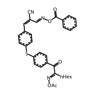 CCCCCCC(=NOC(C)=O)C(=O)c1ccc(Sc2ccc(C=C(C#N)C=NOC(=O)c3ccccc3)cc2)cc1